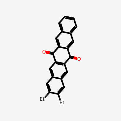 CCc1cc2cc3c(cc2cc1CC)C(=O)c1cc2ccccc2cc1C3=O